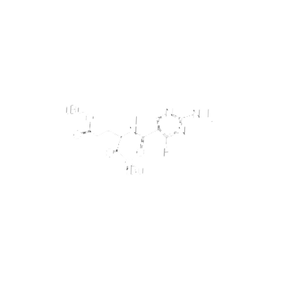 CC(C)(C)OC(=O)CCC(NC(=O)c1cnc(N)nc1F)C(=O)OC(C)(C)C